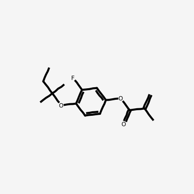 C=C(C)C(=O)Oc1ccc(OC(C)(C)CC)c(F)c1